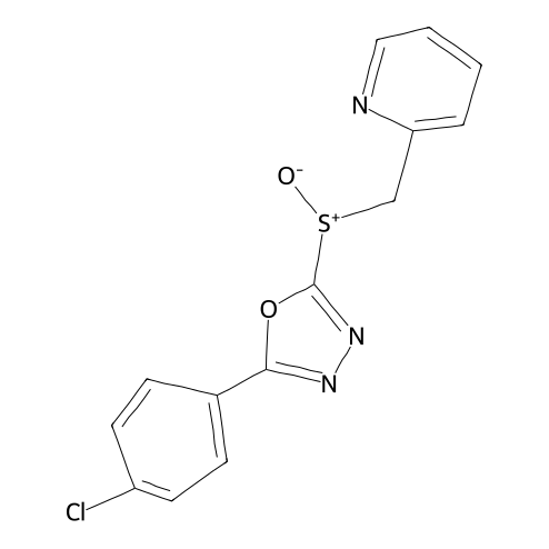 [O-][S+](Cc1ccccn1)c1nnc(-c2ccc(Cl)cc2)o1